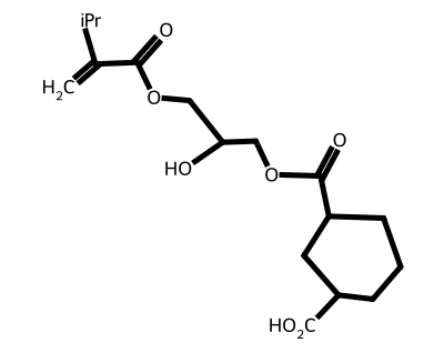 C=C(C(=O)OCC(O)COC(=O)C1CCCC(C(=O)O)C1)C(C)C